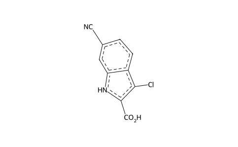 N#Cc1ccc2c(Cl)c(C(=O)O)[nH]c2c1